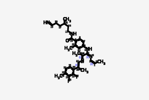 C\C=C/N=C(Nc1ccc(C(=O)NCCC(C)CCC=N)c(C)c1)\C(C)=N\C=C(/C)c1ccc(C)c(F)c1F